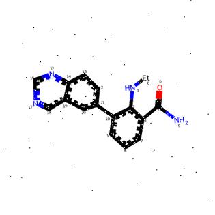 CCNc1c(C(N)=O)cccc1-c1ccc2ncncc2c1